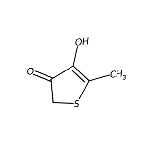 CC1=C(O)C(=O)CS1